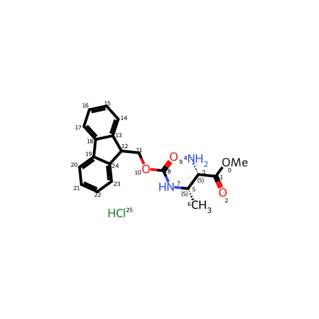 COC(=O)[C@@H](N)[C@H](C)NC(=O)OCC1c2ccccc2-c2ccccc21.Cl